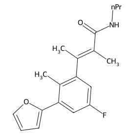 CCCNC(=O)/C(C)=C(\C)c1cc(F)cc(-c2ccco2)c1C